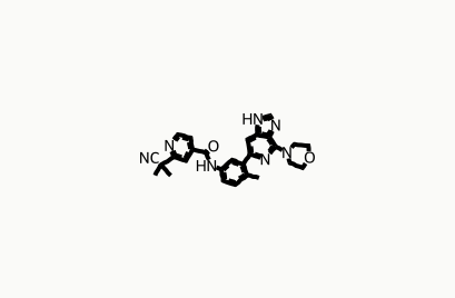 Cc1ccc(NC(=O)c2ccnc(C(C)(C)C#N)c2)cc1-c1cc2[nH]cnc2c(N2CCOCC2)n1